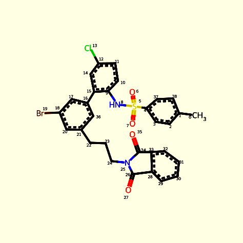 Cc1ccc(S(=O)(=O)Nc2ccc(Cl)cc2-c2cc(Br)cc(CCCN3C(=O)c4ccccc4C3=O)c2)cc1